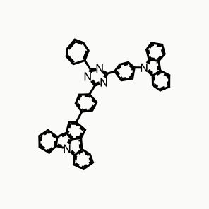 C1=CC=CC(c2nc(-c3ccc(-c4cc5c6ccccc6n6c7ccccc7c(c4)c56)cc3)nc(-c3ccc(-n4c5ccccc5c5ccccc54)cc3)n2)=CC=1